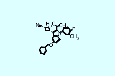 Cc1cc(-n2c(C(C)C)c([C@H]3C[C@@H](C#N)C3)c3cc(OCc4ccccc4)ccc32)ccc1F